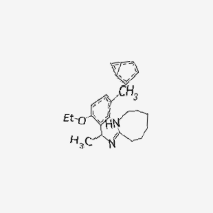 CCOc1ccc(C)cc1C(C)N=C1CCCCCCN1.c1cc2cc-2c1